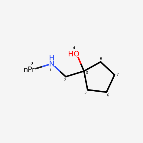 CCCNCC1(O)CCCC1